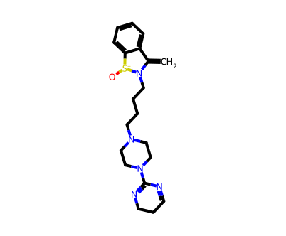 C=C1c2ccccc2[S+]([O-])N1CCCCN1CCN(C2=NCCC=N2)CC1